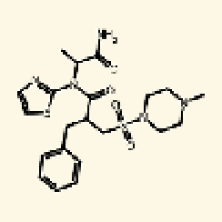 CC(C(N)=O)N(C(=O)C(Cc1ccccc1)CS(=O)(=O)N1CCN(C)CC1)c1nccs1